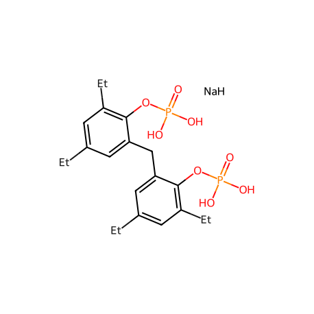 CCc1cc(CC)c(OP(=O)(O)O)c(Cc2cc(CC)cc(CC)c2OP(=O)(O)O)c1.[NaH]